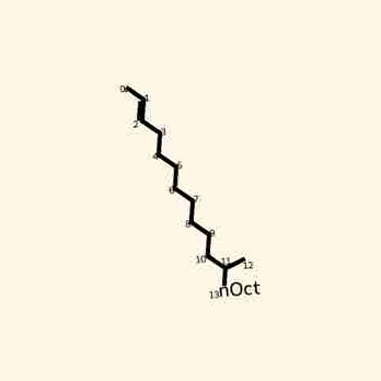 [CH2]C=CCCCCCCCCC(C)CCCCCCC[CH2]